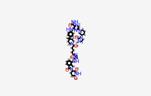 CN1CCN([C@@H]2CCCN(c3cnc(C(N)=O)c(Nc4ccc(C5(C)CCN(C(=O)CCCc6nnc(Nc7cccc8c7CN(C7CCC(=O)NC7=O)C8=O)o6)CC5)cc4)n3)C2)C1=O